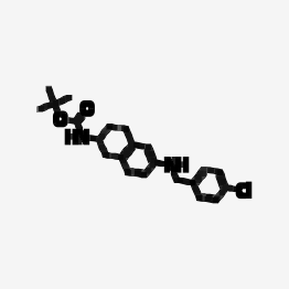 CC(C)(C)OC(=O)NC1CCc2cc(NCc3ccc(Cl)cc3)ccc2C1